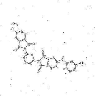 COc1ccc2c(c1)C(=O)N(c1cccc(N3C(=O)c4ccc(Oc5cccc(C)c5)cc4C3=O)c1)C2=O